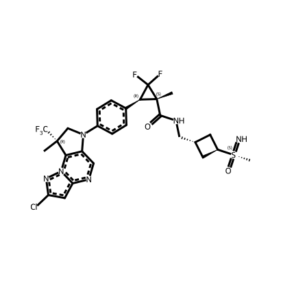 C[C@@]1(C(F)(F)F)CN(c2ccc([C@H]3C(F)(F)[C@]3(C)C(=O)NC[C@H]3C[C@H]([S@@](C)(=N)=O)C3)cc2)c2cnc3cc(Cl)nn3c21